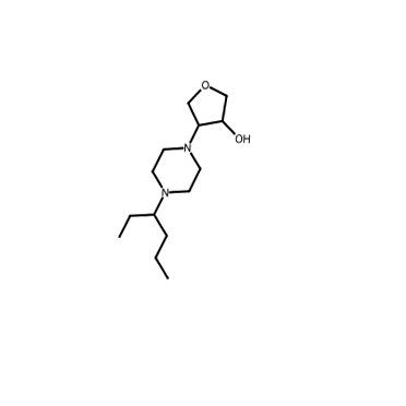 CCCC(CC)N1CCN(C2COCC2O)CC1